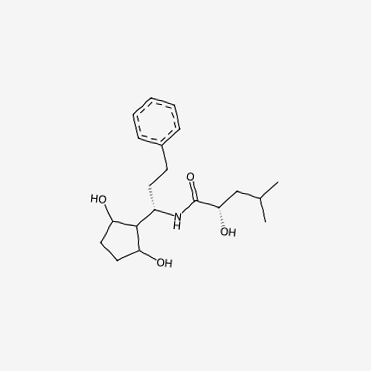 CC(C)C[C@H](O)C(=O)N[C@@H](CCc1ccccc1)C1C(O)CCC1O